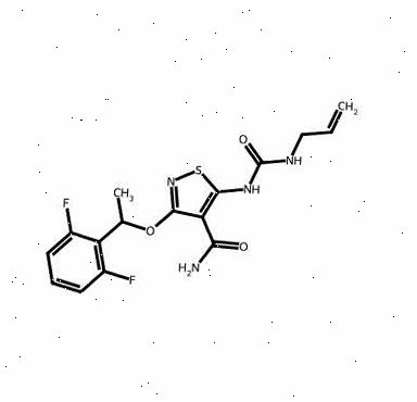 C=CCNC(=O)Nc1snc(OC(C)c2c(F)cccc2F)c1C(N)=O